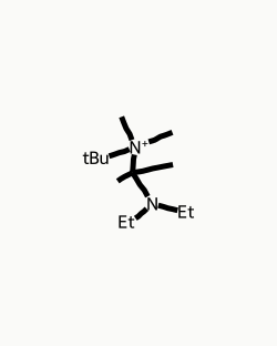 CCN(CC)C(C)(C)[N+](C)(C)C(C)(C)C